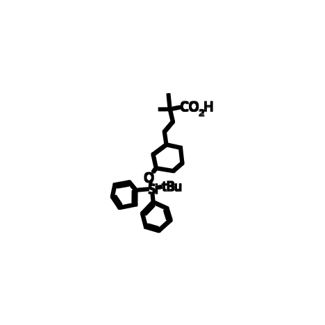 CC(C)(CCC1CCCC(O[Si](c2ccccc2)(c2ccccc2)C(C)(C)C)C1)C(=O)O